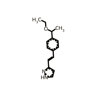 CCOC(C)c1ccc(/C=C/c2cc[nH]n2)cc1